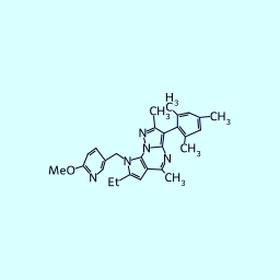 CCc1cc2c(C)nc3c(-c4c(C)cc(C)cc4C)c(C)nn3c2n1Cc1ccc(OC)nc1